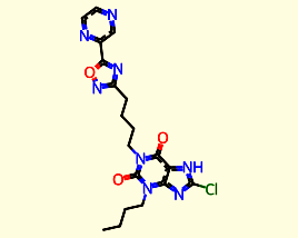 CCCCn1c(=O)n(CCCCc2noc(-c3cnccn3)n2)c(=O)c2[nH]c(Cl)nc21